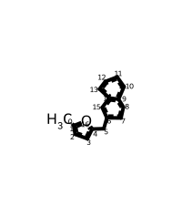 Cc1ccc(Cc2ccc3ccccc3c2)o1